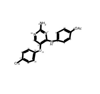 CC(=O)Oc1ccc(Nc2nc(N)ncc2Oc2ccc(Cl)cc2)cc1